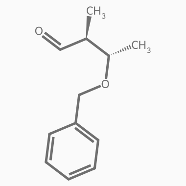 C[C@H](C=O)[C@H](C)OCc1ccccc1